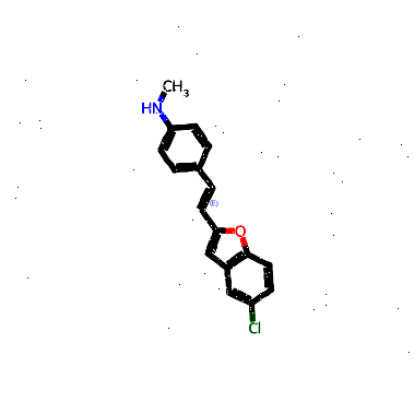 CNc1ccc(/C=C/c2cc3cc(Cl)ccc3o2)cc1